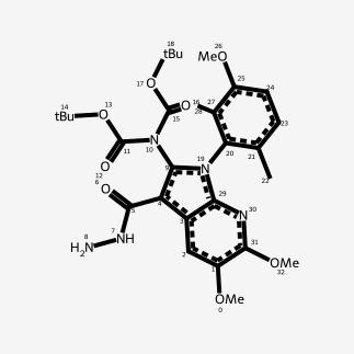 COc1cc2c(C(=O)NN)c(N(C(=O)OC(C)(C)C)C(=O)OC(C)(C)C)n(-c3c(C)ccc(OC)c3C)c2nc1OC